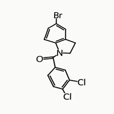 O=C(c1ccc(Cl)c(Cl)c1)N1CCc2cc(Br)ccc21